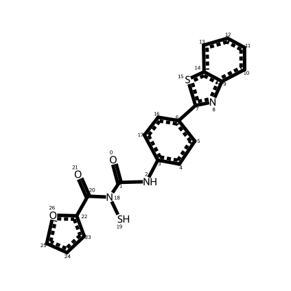 O=C(Nc1ccc(-c2nc3ccccc3s2)cc1)N(S)C(=O)c1ccco1